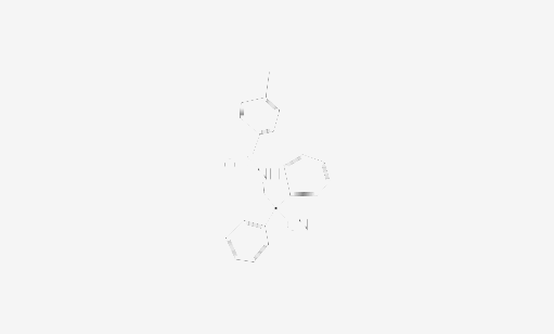 Cc1ccc([S@+]([O-])N[C@@H](C)C(C#N)(c2ccccc2)c2ccccc2)cc1